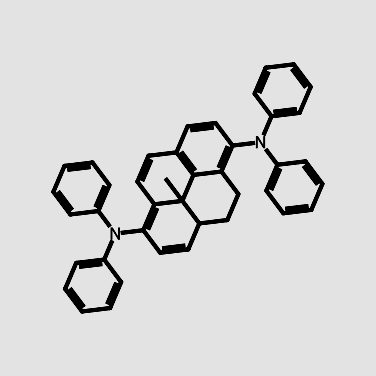 CC12C3=C(N(c4ccccc4)c4ccccc4)C=CC1CCc1c(N(c4ccccc4)c4ccccc4)ccc(c12)C=C3